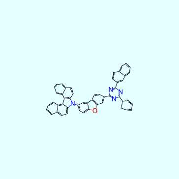 C1=CCC(c2nc(-c3ccc4ccccc4c3)nc(-c3ccc4c(c3)oc3ccc(-n5c6ccc7ccccc7c6c6c7ccccc7ccc65)cc34)n2)C=C1